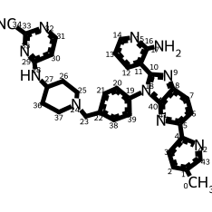 Cc1ccc(-c2ccc3nc(-c4cccnc4N)n(-c4ccc(CN5CCC(Nc6ccnc(C#N)n6)CC5)cc4)c3n2)nc1